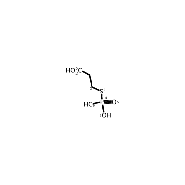 O=C(O)CCSP(=O)(O)O